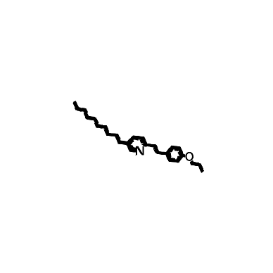 CCCCCCCCCCc1ccc(CCc2ccc(OCCC)cc2)nc1